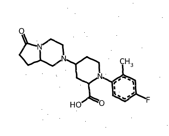 Cc1cc(F)ccc1N1CCC(N2CCN3C(=O)CCC3C2)CC1C(=O)O